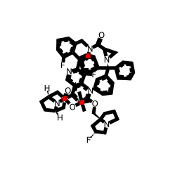 CC(C)(C)OC(=O)N1[C@@H]2CC[C@H]1CN(c1nc(OC[C@@]34CCCN3C[C@H](F)C4)nc3c(F)c(C4=CN(C(=O)C5C[N@]5C(c5ccccc5)(c5ccccc5)c5ccccc5)Cc5cccc(F)c54)ncc13)C2